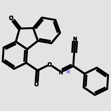 N#C/C(=N\OC(=O)c1cccc2c1-c1ccccc1C2=O)c1ccccc1